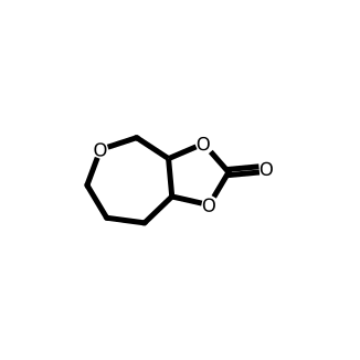 O=C1OC2CCCOCC2O1